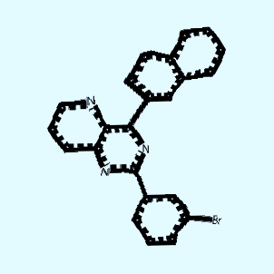 Brc1cccc(-c2nc(-c3ccc4ccccc4c3)c3ncccc3n2)c1